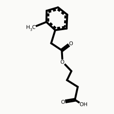 Cc1ccccc1CC(=O)OCCCC(=O)O